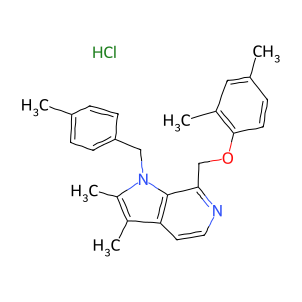 Cc1ccc(Cn2c(C)c(C)c3ccnc(COc4ccc(C)cc4C)c32)cc1.Cl